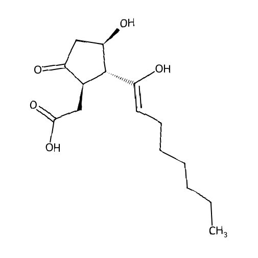 CCCCCC/C=C(\O)[C@H]1[C@H](O)CC(=O)[C@@H]1CC(=O)O